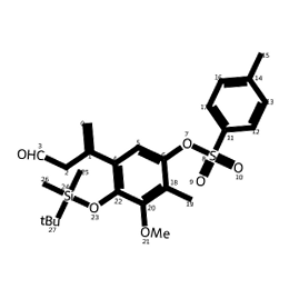 C=C(CC=O)c1cc(OS(=O)(=O)c2ccc(C)cc2)c(C)c(OC)c1O[Si](C)(C)C(C)(C)C